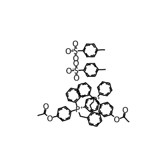 CC(=O)Oc1ccc([P+](Cc2ccccc2C[P+](c2ccccc2)(c2ccccc2)c2ccc(OC(C)=O)cc2)(c2ccccc2)c2ccccc2)cc1.Cc1ccc(S(=O)(=O)[O-])cc1.Cc1ccc(S(=O)(=O)[O-])cc1